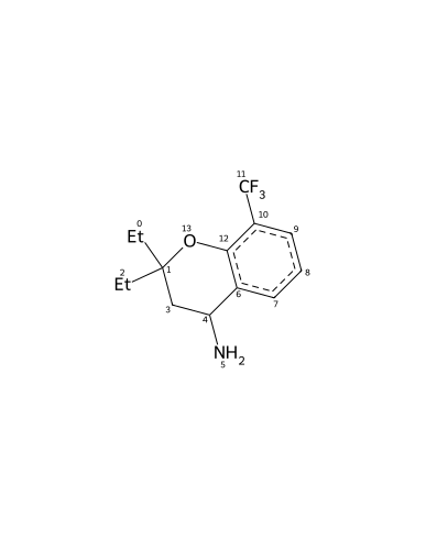 CCC1(CC)CC(N)c2cccc(C(F)(F)F)c2O1